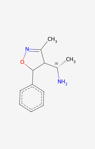 CC1=NOC(c2ccccc2)C1[C@H](C)N